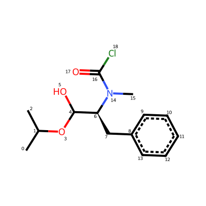 CC(C)OC(O)[C@H](Cc1ccccc1)N(C)C(=O)Cl